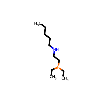 CCCCCNCCP(CC)CC